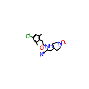 CON1CCC(CC(C#N)NC(=O)Cc2c(C)cc(Cl)cc2C)CC1